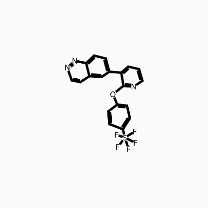 FS(F)(F)(F)(F)c1ccc(Oc2ncccc2-c2ccc3nnccc3c2)cc1